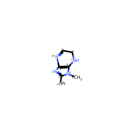 CCCc1nc2c(n1C)NCC=N2